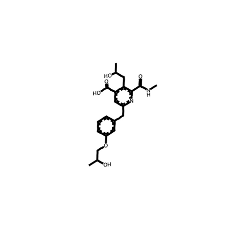 CNC(=O)c1nc(Cc2cccc(OCC(C)O)c2)cc(C(=O)O)c1CC(C)O